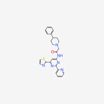 O=C(CN1CCC(c2ccccc2)CC1)Nc1cc(-c2nccs2)nc(-c2ccccn2)n1